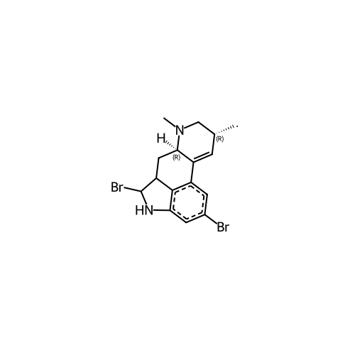 [CH2][C@@H]1C=C2c3cc(Br)cc4c3C(C[C@H]2N(C)C1)C(Br)N4